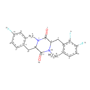 CN1C(=O)C(Cc2c(C#N)ccc(F)c2F)N(C)C(=O)C1Cc1ccc(F)cc1